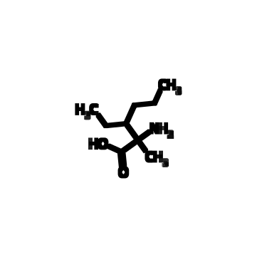 CCCC(CC)C(C)(N)C(=O)O